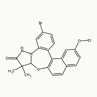 CCOc1ccc2ccc3c(c2c1)-c1ccc(Br)cc1N1NC(=O)C(C)(C)C1O3